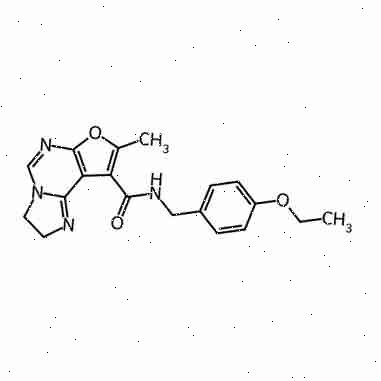 CCOc1ccc(CNC(=O)c2c(C)oc3c2C2=NCCN2C=N3)cc1